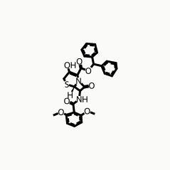 COc1cccc(OC)c1C(=O)NC1C(=O)N2C(C(=O)OC(c3ccccc3)c3ccccc3)=C(O)CS[C@@H]12